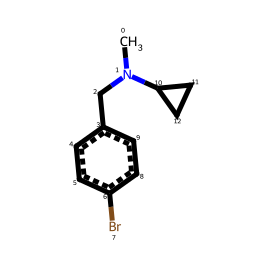 CN(Cc1ccc(Br)cc1)C1CC1